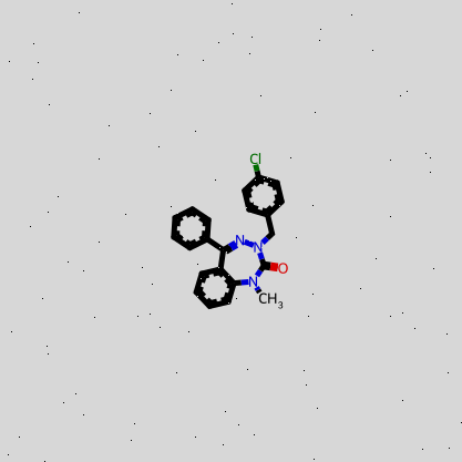 CN1C(=O)N(Cc2ccc(Cl)cc2)N=C(c2ccccc2)c2ccccc21